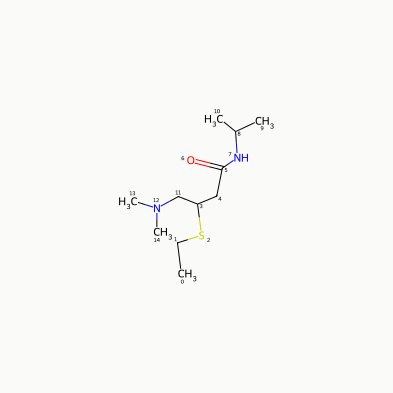 CCSC(CC(=O)NC(C)C)CN(C)C